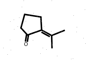 CC(C)=C1CCCC1=O